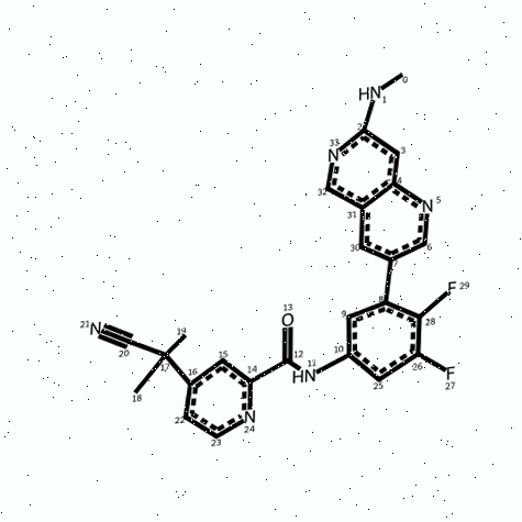 CNc1cc2ncc(-c3cc(NC(=O)c4cc(C(C)(C)C#N)ccn4)cc(F)c3F)cc2cn1